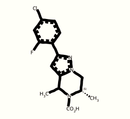 CC1c2cc(-c3ccc(Cl)cc3F)nn2C[C@H](C)N1C(=O)O